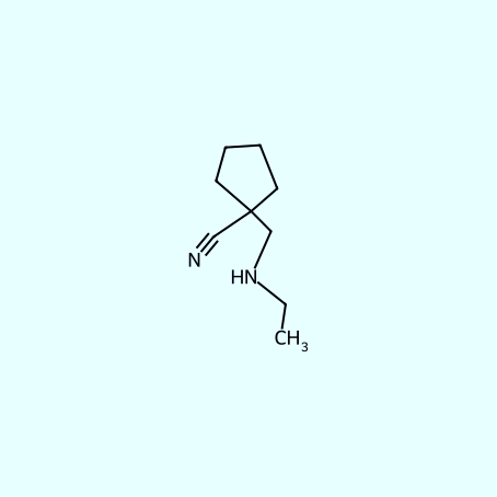 CCNCC1(C#N)CCCC1